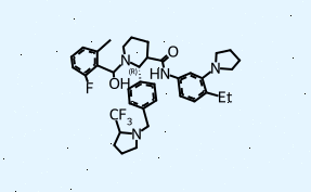 CCc1ccc(NC(=O)C2CCCN(C(O)c3c(C)cccc3F)[C@H]2c2ccc(CN3CCCC3C(F)(F)F)cc2)cc1N1CCCC1